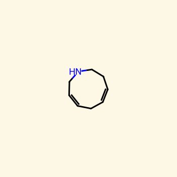 C1=CCCNCC=CC1